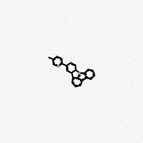 Cc1ccc(C2=CC3c4cccc5c6ccccc6n(c45)C3C=C2)nc1